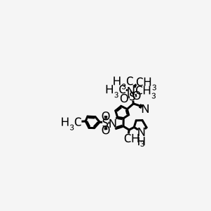 Cc1ccc(S(=O)(=O)n2cc(C(C)C3CCCN3)c3cc(C(C#N)S(=O)(=O)N(C)C(C)(C)C)ccc32)cc1